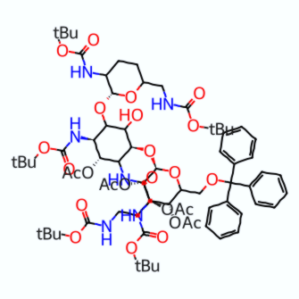 CC(=O)O[C@H]1C(COC(c2ccccc2)(c2ccccc2)c2ccccc2)O[C@H](O[C@@H]2C(O)C(O[C@H]3OC(CNC(=O)OC(C)(C)C)CCC3NC(=O)OC(C)(C)C)[C@H](NC(=O)OC(C)(C)C)[C@@H](OC(C)=O)C2NC(=O)[C@H](CCNC(=O)OC(C)(C)C)OC(C)=O)[C@@H](OC(C)=O)C1NC(=O)OC(C)(C)C